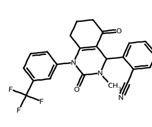 CN1C(=O)N(c2cccc(C(F)(F)F)c2)C2=C(C(=O)CCC2)C1c1ccccc1C#N